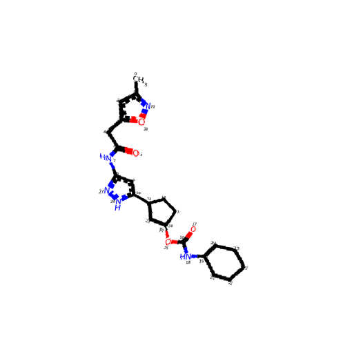 Cc1cc(CC(=O)Nc2cc(C3CC[C@@H](OC(=O)NC4CCCCC4)C3)[nH]n2)on1